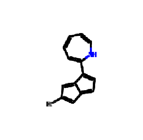 CCC1=CC2=CC=C(C3=CC=CC=CN3)C2=C1